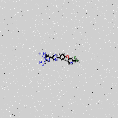 Nc1cc(-c2cnc(-c3ccc(Oc4ccnc(C(F)(F)F)c4)cc3)nc2)nc(N)n1